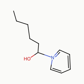 CCCCCC(O)[n+]1ccccc1